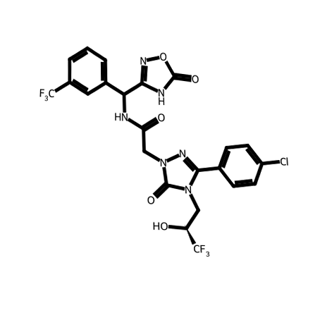 O=C(Cn1nc(-c2ccc(Cl)cc2)n(C[C@H](O)C(F)(F)F)c1=O)NC(c1cccc(C(F)(F)F)c1)c1noc(=O)[nH]1